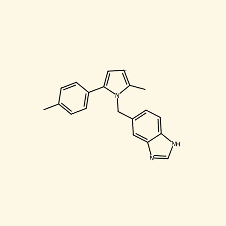 Cc1ccc(-c2c[c]c(C)n2Cc2ccc3[nH]cnc3c2)cc1